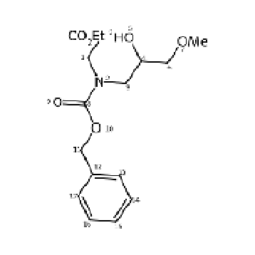 CCOC(=O)CN(CC(O)COC)C(=O)OCc1ccccc1